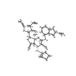 C#CCN(C(=O)NCCCC)N1CC(=O)N2[C@@H](Cc3cnc[nH]3)C(=O)N(Cc3cccc4sc(N)nc34)C[C@@H]21